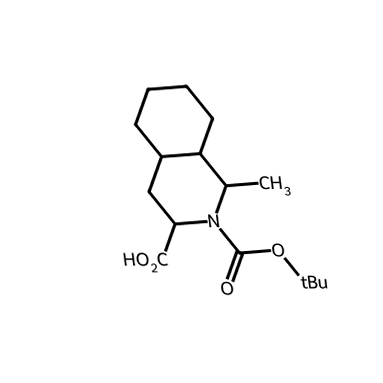 CC1C2CCCCC2CC(C(=O)O)N1C(=O)OC(C)(C)C